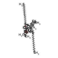 [C-]#[N+]/C(c1cnc2cc(C)c(OC)cc2n1)=c1\c2c(-c3ccc(OCCCCCCCCCCCCCCCCCCCC)cc3)n(C)/c(=C(/C#N)c3cnc4cc(OC)c(C)cc4n3)c2c(-c2ccc(OCCCCCCCCCCCCCCCCCCCC)cc2)n1B(c1ccccc1)c1ccccc1